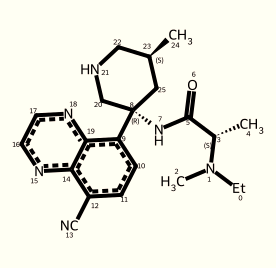 CCN(C)[C@@H](C)C(=O)N[C@]1(c2ccc(C#N)c3nccnc23)CNC[C@@H](C)C1